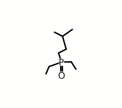 CCP(=O)(CC)CCC(C)C